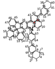 CC1(C)CCC(C)(C)c2cc(-c3ccc(N(c4ccccc4)c4cc5c(cc4-c4ccc(-c6ccc7c(c6)CCCC7)cc4)-c4ccccc4C5(c4ccccc4)c4ccccc4)cc3)ccc21